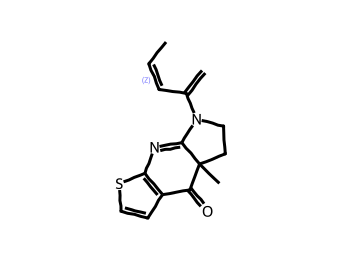 C=C(/C=C\C)N1CCC2(C)C(=O)c3ccsc3N=C12